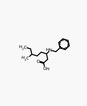 CCC(C)CCC(CC(=O)O)NCc1ccccc1